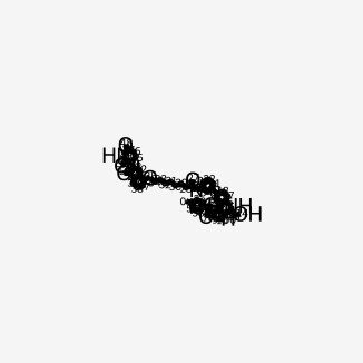 Cc1ccc(S(=O)(=O)N2CC[C@@H]3[C@H](CO)Nc4ccc(-c5cccc(NC(=O)CCCCCCCOc6cccc7c6CN(C6CCC(=O)NC6=O)C7=O)c5)cc4[C@@H]32)cc1